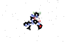 COc1cc(C(=O)N2CC3CC4CC2[C@H]43)cc2nc(-c3cc4cccnc4n3CC3CC3)n(Cc3cnn(-c4ncc(Cl)cc4F)c3)c12